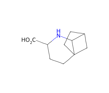 O=C(O)C1CCC23CCC(C2)C3N1